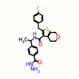 CC(NC(=O)c1c(Cc2ccc(F)cc2)sc2c1CCOC2)c1ccc(C(=O)NN)cc1